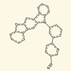 N#Cc1ccc(-c2cccc(-n3c4ccccc4c4cc5oc6ccccc6c5cc43)c2)nc1